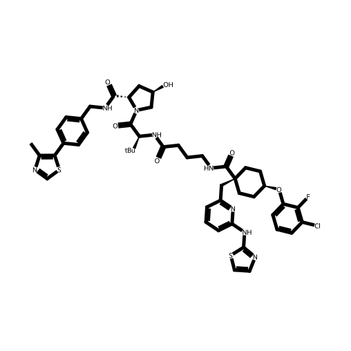 Cc1ncsc1-c1ccc(CNC(=O)[C@@H]2C[C@@H](O)CN2C(=O)[C@@H](NC(=O)CCCNC(=O)[C@]2(Cc3cccc(Nc4nccs4)n3)CC[C@@H](Oc3cccc(Cl)c3F)CC2)C(C)(C)C)cc1